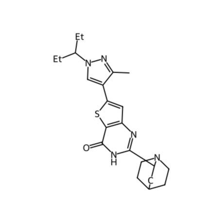 CCC(CC)n1cc(-c2cc3nc(C4CC5CCN4CC5)[nH]c(=O)c3s2)c(C)n1